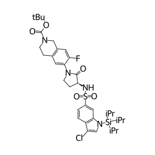 CC(C)[Si](C(C)C)(C(C)C)n1cc(Cl)c2ccc(S(=O)(=O)N[C@H]3CCN(c4cc5c(cc4F)CN(C(=O)OC(C)(C)C)CC5)C3=O)cc21